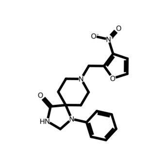 O=C1NCN(c2ccccc2)C12CCN(Cc1occc1[N+](=O)[O-])CC2